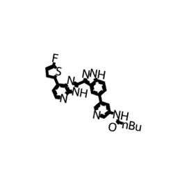 CCCCC(=O)Nc1cncc(-c2ccc3[nH]nc(-c4nc5c(C6CC=C(F)S6)ccnc5[nH]4)c3c2)c1